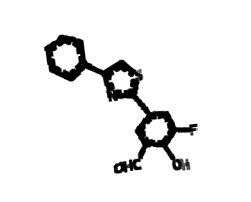 O=Cc1cc(-c2nc(-c3ccccc3)cs2)cc(F)c1O